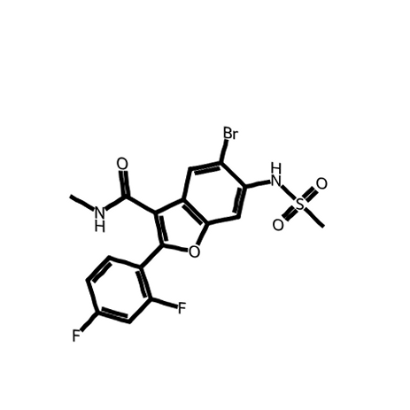 CNC(=O)c1c(-c2ccc(F)cc2F)oc2cc(NS(C)(=O)=O)c(Br)cc12